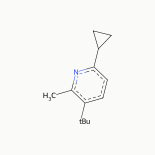 Cc1nc(C2CC2)ccc1C(C)(C)C